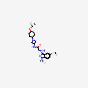 CCOC1CCC(N2CC(NC(=O)CNc3nn(C)c4ccc(C)cc34)C2)CC1